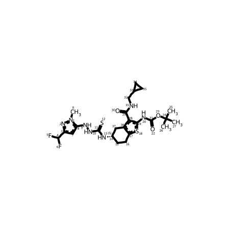 Cn1nc(C(F)F)cc1NNC(=S)N[C@H]1CCc2sc(NC(=O)OC(C)(C)C)c(C(=O)NCC3CC3)c2C1